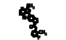 Cc1c(F)cccc1CC(=O)N1CCc2cc(-c3cn(C)c4ncnc(N)c34)ccc21